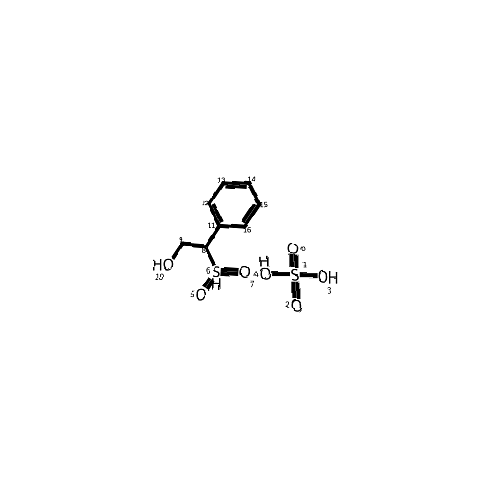 O=S(=O)(O)O.O=[SH](=O)C(CO)c1ccccc1